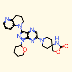 O=C1NC2(CCN(c3cnc4c(N5CCCc6ncccc65)nn(C5CCCCO5)c4n3)CC2)CO1